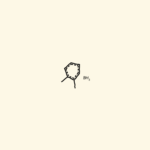 B.Cc1ccccc1C